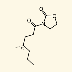 CCC[C@H](C)CCC(=O)N1CCOC1=O